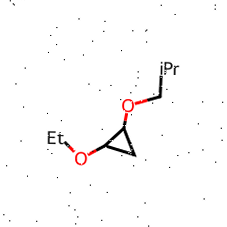 CCOC1CC1OCC(C)C